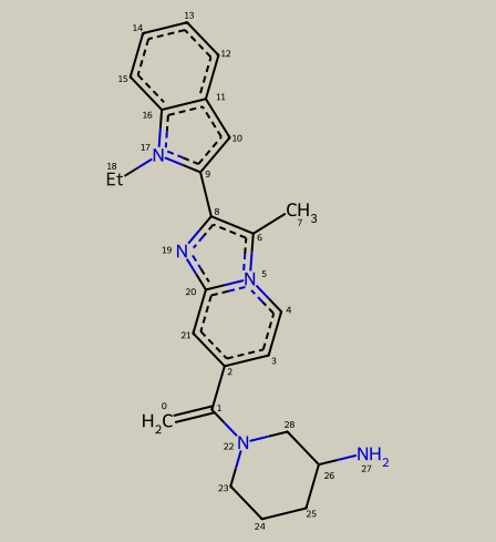 C=C(c1ccn2c(C)c(-c3cc4ccccc4n3CC)nc2c1)N1CCCC(N)C1